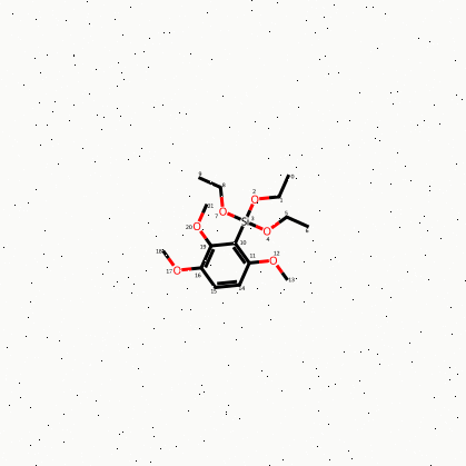 CCO[Si](OCC)(OCC)c1c(OC)ccc(OC)c1OC